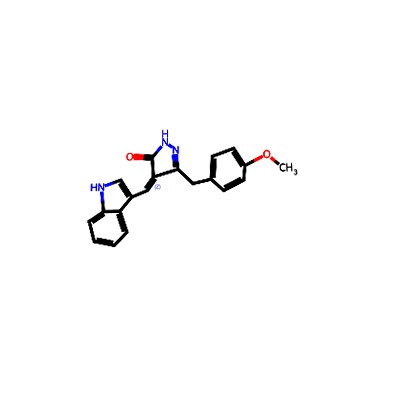 COc1ccc(CC2=NNC(=O)/C2=C\c2c[nH]c3ccccc23)cc1